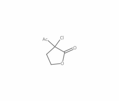 CC(=O)C1(Cl)CCOC1=O